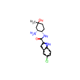 CC1(O)CC[C@H](NC(=O)c2cc3cc(Cl)ccc3[nH]2)[C@H](N)C1